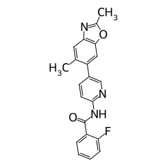 Cc1nc2cc(C)c(-c3ccc(NC(=O)c4ccccc4F)nc3)cc2o1